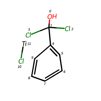 OC(Cl)(Cl)c1ccccc1.[Cl][Ti]